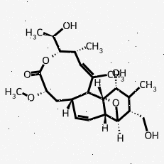 CO[C@H]1C[C@H]2C=C[C@H]3[C@H]4O[C@]2(/C(C)=C/[C@@H](C)[C@@H]([C@@H](C)O)OC1=O)[C@@H]3[C@H](O)C(C)[C@@H]4CO